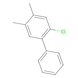 Cc1cc(Cl)c(-c2ccccc2)cc1C